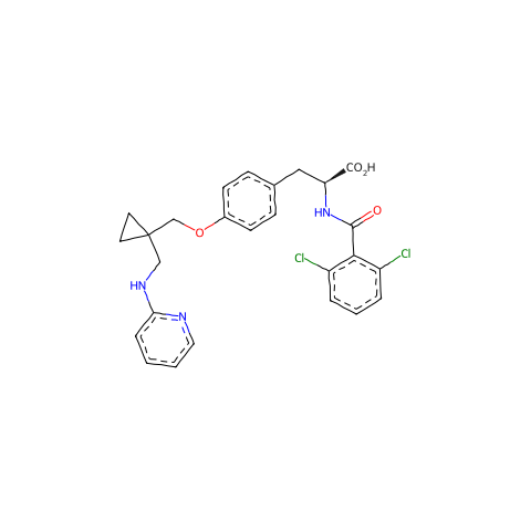 O=C(N[C@@H](Cc1ccc(OCC2(CNc3ccccn3)CC2)cc1)C(=O)O)c1c(Cl)cccc1Cl